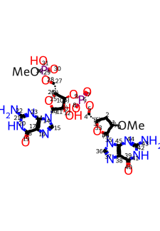 CO[C@@H]1C[C@@H](COP(=O)(O)O[C@H]2[C@@H](O)[C@H](n3cnc4c(=O)[nH]c(N)nc43)O[C@@H]2COP(=O)(O)OC)O[C@H]1n1cnc2c(=O)[nH]c(N)nc21